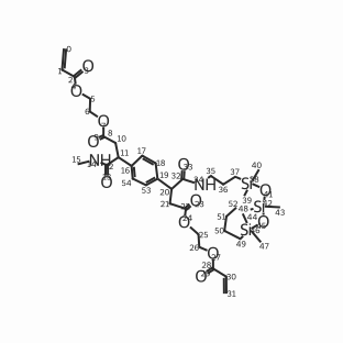 C=CC(=O)OCCOC(=O)CC(C(=O)NC)c1ccc(C(CC(=O)OCCOC(=O)C=C)C(=O)NCCC[Si](C)(C)O[Si](C)(C)O[Si](C)(C)CCCC)cc1